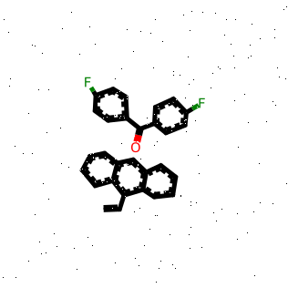 C=Cc1c2ccccc2cc2ccccc12.O=C(c1ccc(F)cc1)c1ccc(F)cc1